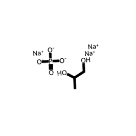 CC(O)CO.O=P([O-])([O-])[O-].[Na+].[Na+].[Na+]